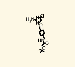 CC(C)(C)OCC(=O)NCc1ccc(COc2cc(Cl)nc(N)n2)cc1